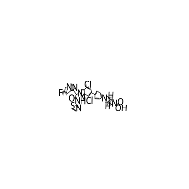 O=C(Nc1nccs1)C(c1ncn2c1C[C@@H](F)C2)n1cc2c(Cl)cc(-c3ccc(N4C[C@H]5CN(C(=O)O)C[C@H]5C4)cc3)c(Cl)c2n1